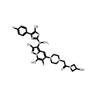 CCc1nn2c(O)c(F)c(N3CCN(CC(=O)N4CC(O)C4)CC3)cc2c1N(C)c1nc(-c2ccc(F)cc2)c(C#N)s1